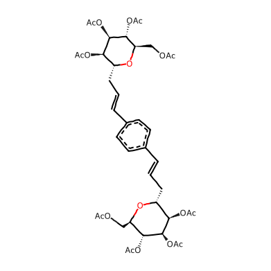 CC(=O)OC[C@H]1O[C@H](CC=Cc2ccc(C=CC[C@H]3O[C@H](COC(C)=O)[C@@H](OC(C)=O)[C@H](OC(C)=O)[C@@H]3OC(C)=O)cc2)[C@@H](OC(C)=O)[C@@H](OC(C)=O)[C@@H]1OC(C)=O